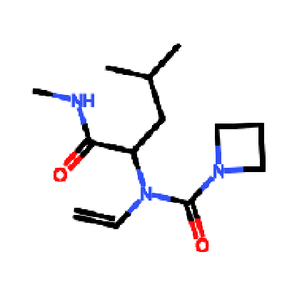 C=CN(C(=O)N1CCC1)C(CC(C)C)C(=O)NC